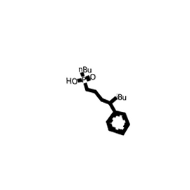 CCCCP(=O)(O)CCCC(c1ccccc1)C(C)CC